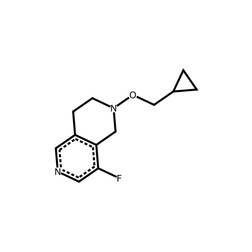 Fc1cncc2c1CN(OCC1CC1)CC2